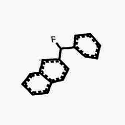 FC(c1[c]c2ccccc2cc1)c1ccccc1